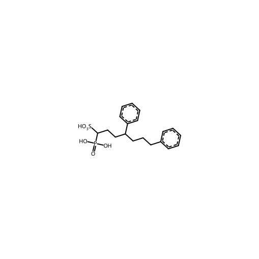 O=P(O)(O)C(CCC(CCCc1ccccc1)c1ccccc1)S(=O)(=O)O